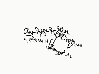 CNN(C)Cc1cc2ccccc2n1CCC(=O)NCC(=O)NCC(=O)NCC(=O)N(C)[C@@H](C)C(=O)O[C@H]1CC(=O)N(C)c2cc(cc(OC)c2Cl)C/C(C)=C/C=C/[C@@H](OC)[C@@]2(O)C[C@H](OC(=O)N2)[C@@H](C)C2O[C@]21C